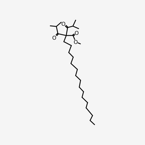 CCCCCCCCCCCCCCCCC(C(=O)OC)(C(=O)C(C)C)C(=O)C(C)C